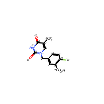 O=C(O)c1cc(Cn2cc(C(F)(F)F)c(=O)[nH]c2=O)ccc1F